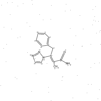 CC(C(N)=O)=C(Cc1ccccc1)n1ccnn1